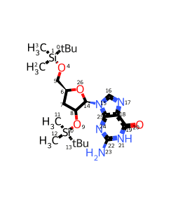 CC(C)(C)[Si](C)(C)OC[C@@H]1CC(O[Si](C)(C)C(C)(C)C)[C@H](n2cnc3c(=O)[nH]c(N)nc32)O1